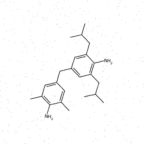 Cc1cc(Cc2cc(CC(C)C)c(N)c(CC(C)C)c2)cc(C)c1N